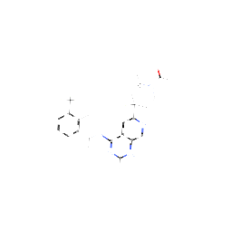 CC(=O)N1CCC(F)(c2cc3/c(=N/C(C)c4cccc(C(F)(F)F)c4C)nc(C)n(C)c3cn2)C[C@H]1C